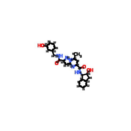 Cc1cc(C(=O)NC2c3ccccc3CC2O)nc2cc(C(=O)NCc3cccc(O)c3)nn12